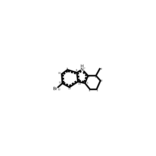 CC1CCCc2c1[nH]c1ccc(Br)cc21